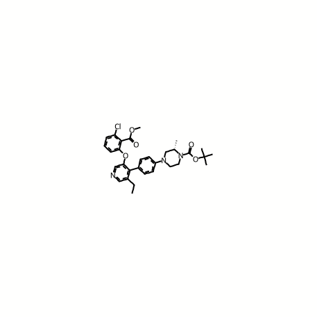 CCc1cncc(Oc2cccc(Cl)c2C(=O)OC)c1-c1ccc(N2CCN(C(=O)OC(C)(C)C)[C@@H](C)C2)cc1